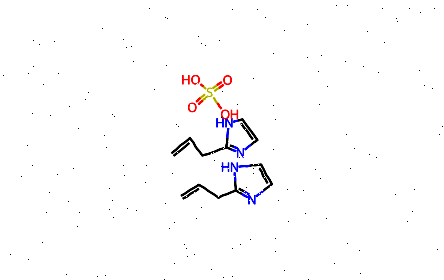 C=CCc1ncc[nH]1.C=CCc1ncc[nH]1.O=S(=O)(O)O